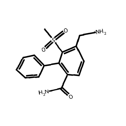 CS(=O)(=O)c1c(CN)ccc(C(N)=O)c1-c1ccccc1